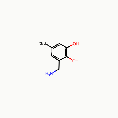 CC(C)(C)c1cc(O)c(O)c(CN)c1